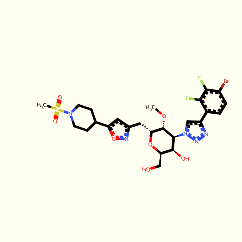 CO[C@@H]1[C@@H](n2cc(-c3ccc(Br)c(F)c3F)nn2)[C@@H](O)[C@@H](CO)O[C@@H]1Cc1cc(C2CCN(S(C)(=O)=O)CC2)on1